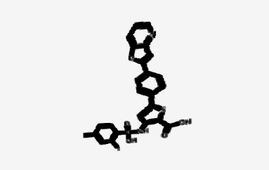 Cc1ccc(P(=O)(O)Nc2cc(-c3ccc(-c4cc5ncccc5o4)cc3)sc2C(=O)O)c(I)c1